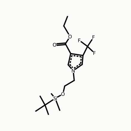 CCOC(=O)c1cn(CCO[Si](C)(C)C(C)(C)C)cc1C(F)(F)F